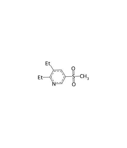 CCc1cc(S(C)(=O)=O)cnc1CC